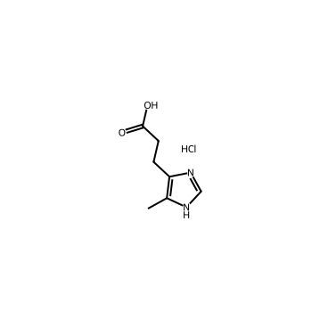 Cc1[nH]cnc1CCC(=O)O.Cl